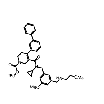 COCCNCc1cc(CN(C(=O)C2=C(c3cccc(-c4ccccc4)c3)CCN(C(=O)OC(C)(C)C)C2)C2CC2)cc(OC)c1